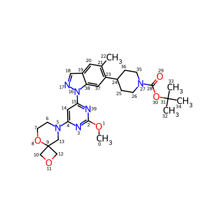 COc1nc(N2CCOC3(COC3)C2)cc(-n2ncc3cc(C)c(C4CCN(C(=O)OC(C)(C)C)CC4)cc32)n1